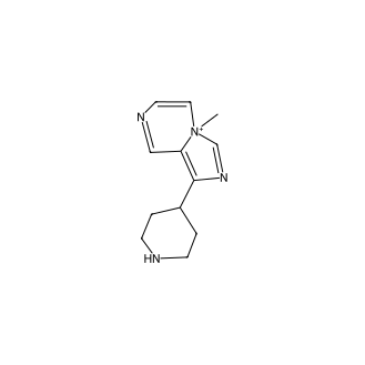 C[N+]12C=CN=CC1=C(C1CCNCC1)N=C2